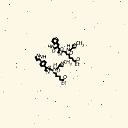 CCC(=O)CCCCCC(NC(=O)C1CN(C)C1)c1ncc(-c2cc3ccccc3[nH]c2=O)o1.CCC(=O)CCCCC[C@H](NC(=O)C1CN(C)C1)c1ncc(-c2ccc(-c3ccn[nH]3)cc2)o1